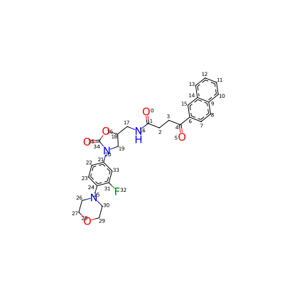 O=C(CCC(=O)c1ccc2ccccc2c1)NCC1CN(c2ccc(N3CCOCC3)c(F)c2)C(=O)O1